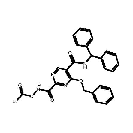 CCC(=O)ONC(=O)c1ncc(C(=O)NC(c2ccccc2)c2ccccc2)c(OCc2ccccc2)n1